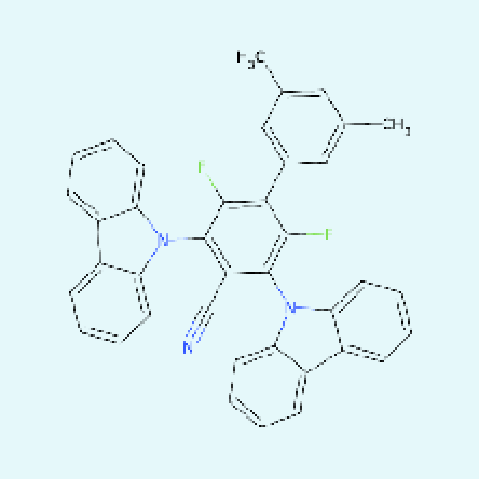 Cc1cc(C)cc(-c2c(F)c(-n3c4ccccc4c4ccccc43)c(C#N)c(-n3c4ccccc4c4ccccc43)c2F)c1